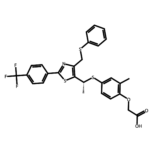 Cc1cc(S[C@H](C)c2sc(-c3ccc(C(F)(F)F)cc3)nc2CSc2ccccc2)ccc1OCC(=O)O